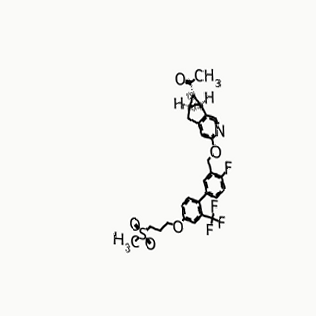 CC(=O)[C@H]1[C@@H]2Cc3cc(OCc4cc(-c5ccc(OCCCS(C)(=O)=O)cc5C(F)(F)F)ccc4F)ncc3[C@@H]21